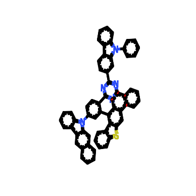 c1ccc(-c2nc(-c3ccc4c5ccccc5n(-c5ccccc5)c4c3)nc(-c3ccc(-n4c5ccccc5c5cc6ccccc6cc54)cc3-c3c4ccccc4cc4sc5ccccc5c34)n2)cc1